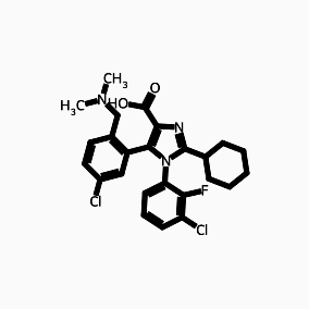 CN(C)Cc1ccc(Cl)cc1-c1c(C(=O)O)nc(C2CCCCC2)n1-c1cccc(Cl)c1F